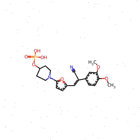 COc1ccc(/C(C#N)=C/c2ccc(N3CCC(OP(=O)(O)O)CC3)o2)cc1OC